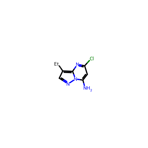 CCc1cnn2c(N)cc(Cl)nc12